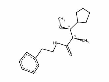 CO[C@@H](C1CCCC1)[C@@H](C)C(=O)NCCc1ccccc1